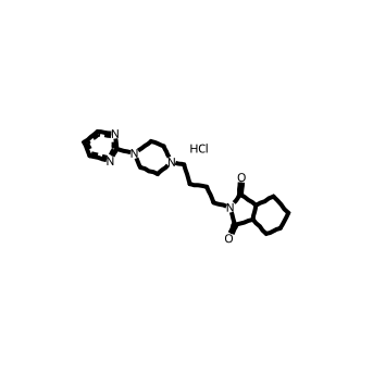 Cl.O=C1C2CCCCC2C(=O)N1CCCCN1CCN(c2ncccn2)CC1